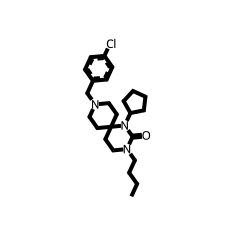 CCCCN1CCC2(CCN(Cc3ccc(Cl)cc3)CC2)N(C2CCCC2)C1=O